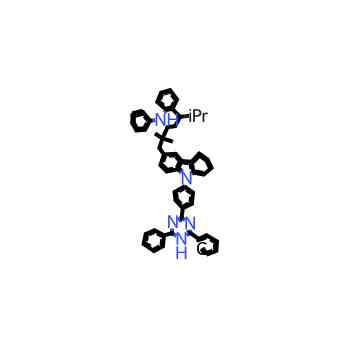 CC(C)C(CCC(C)(C)Cc1ccc2c(c1)c1c(n2-c2ccc(C3=NC(c4ccccc4)NC(c4ccccc4)=N3)cc2)=CC=C=C=1)c1ccccc1Nc1c#cccc1